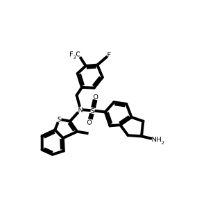 Cc1c(N(Cc2ccc(F)c(C(F)(F)F)c2)S(=O)(=O)c2ccc3c(c2)CC(N)C3)sc2ccccc12